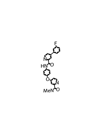 CNC(=O)c1cc(Oc2ccc(NC(=O)c3cc(-c4cccc(F)c4)ccn3)cc2)ccn1